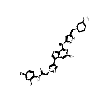 Cc1cn2c(-c3cnn(CC(=O)Nc4ccc(F)cc4F)c3)cnc2c(Nc2cc(CN3CCCC(C)C3)ns2)n1